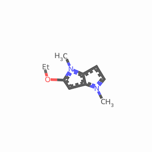 CCOc1cc2c(ccn2C)n1C